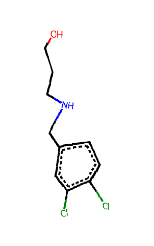 OCCCNCc1ccc(Cl)c(Cl)c1